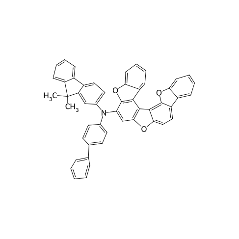 CC1(C)c2ccccc2-c2ccc(N(c3ccc(-c4ccccc4)cc3)c3cc4oc5ccc6c7ccccc7oc6c5c4c4c3oc3ccccc34)cc21